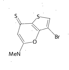 CNc1cc(=S)c2scc(Br)c2o1